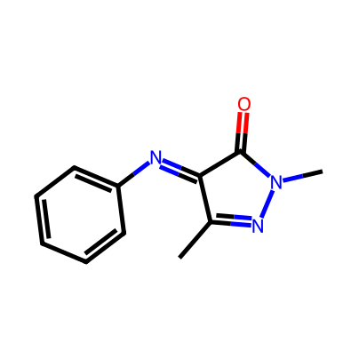 CC1=NN(C)C(=O)/C1=N/c1ccccc1